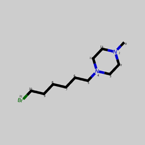 CN1CCN(CCCCCCBr)CC1